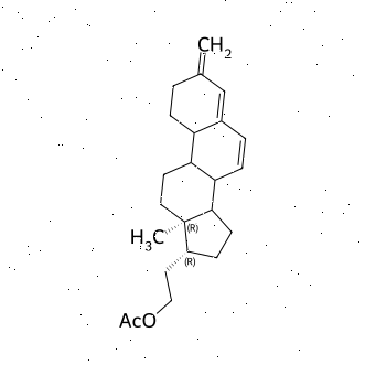 C=C1C=C2C=CC3C(CC[C@@]4(C)C3CC[C@@H]4CCOC(C)=O)C2CC1